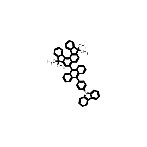 CC1(C)c2ccccc2-c2c1ccc1c(-c3c4ccccc4c(-c4ccc(-n5c6c(c7ccccc75)CCC=C6)cc4)c4ccccc34)cc3c(c21)-c1ccccc1C3(C)C